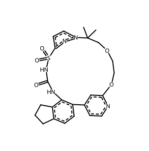 CC1(C)COCCOc2cc(ccn2)-c2ccc3c(c2NC(=O)NS(=O)(=O)c2ccn1n2)CCC3